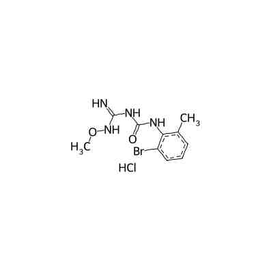 CONC(=N)NC(=O)Nc1c(C)cccc1Br.Cl